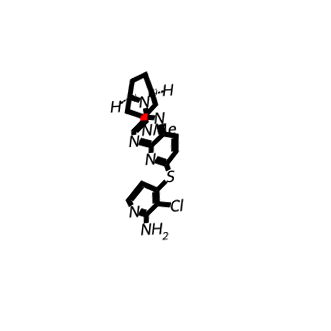 CNC1C[C@H]2CC[C@@H](C1)N2c1cnc2nc(Sc3ccnc(N)c3Cl)ccc2n1